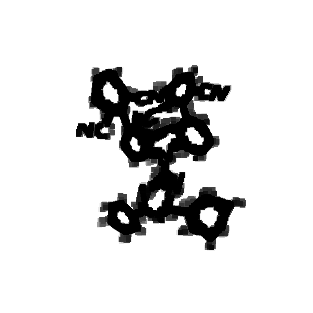 N#Cc1cccc(C#N)c1-c1ccc2c(c1)c1c(-c3c(C#N)cccc3C#N)cccc1n2-c1nc(-c2ccccc2)nc(-c2ccccc2)n1